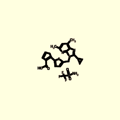 Cc1cc(C)c2nc(C3CC3)n(Cc3ccc(C4=C(C(=O)O)C=CC4)s3)c2n1.NS(=O)(=O)C(F)(F)F